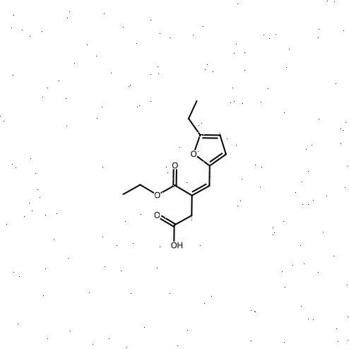 CCOC(=O)C(=Cc1ccc(CC)o1)CC(=O)O